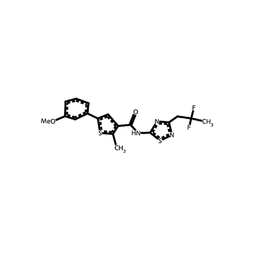 COc1cccc(-c2cc(C(=O)Nc3nc(CC(C)(F)F)ns3)c(C)s2)c1